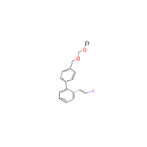 CCOCOCc1ccc(-c2ccccc2C=CI)cc1